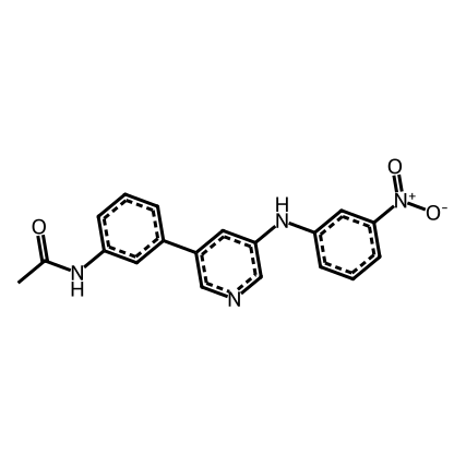 CC(=O)Nc1cccc(-c2cncc(Nc3cccc([N+](=O)[O-])c3)c2)c1